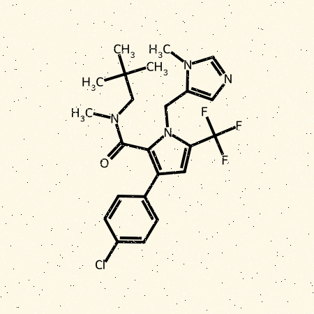 CN(CC(C)(C)C)C(=O)c1c(-c2ccc(Cl)cc2)cc(C(F)(F)F)n1Cc1cncn1C